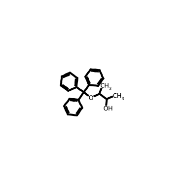 CC(O)C(C)OC(c1ccccc1)(c1ccccc1)c1ccccc1